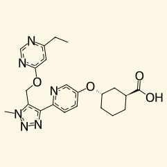 CCc1cc(OCc2c(-c3ccc(O[C@H]4CCC[C@H](C(=O)O)C4)cn3)nnn2C)ncn1